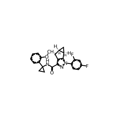 COc1ccccc1C1(NC(=O)c2nn(-c3ccc(F)cc3F)c3c2C[C@H]2C[C@@H]32)CC1